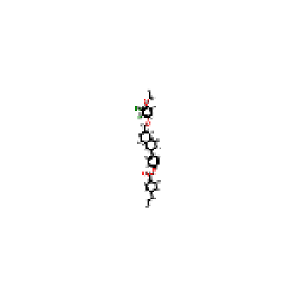 CCCC1CCC(C(=O)Oc2ccc(C3CCC4CC(COc5ccc(OCC)c(F)c5F)CCC4C3)cc2)CC1